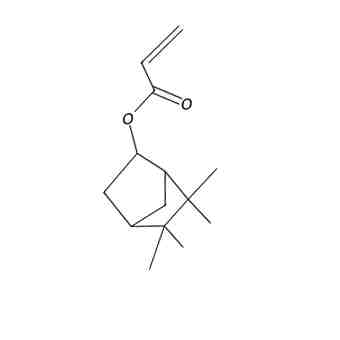 C=CC(=O)OC1CC2CC1C(C)(C)C2(C)C